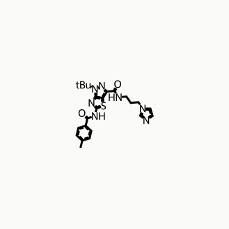 Cc1ccc(C(=O)Nc2nc3c(s2)c(C(=O)NCCCn2ccnc2)nn3C(C)(C)C)cc1